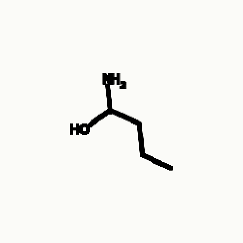 CCC[C](N)O